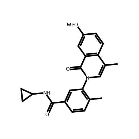 COc1ccc2c(C)cn(-c3cc(C(=O)NC4CC4)ccc3C)c(=O)c2c1